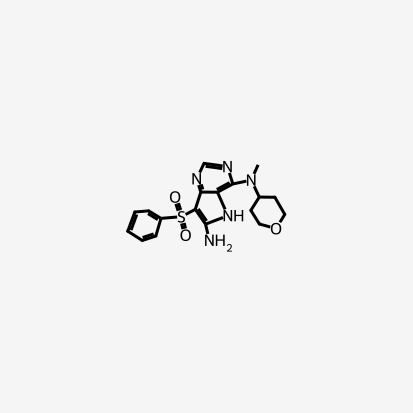 CN(c1ncnc2c(S(=O)(=O)c3ccccc3)c(N)[nH]c12)C1CCOCC1